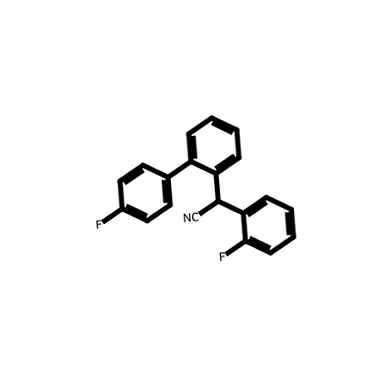 N#CC(c1ccccc1F)c1ccccc1-c1ccc(F)cc1